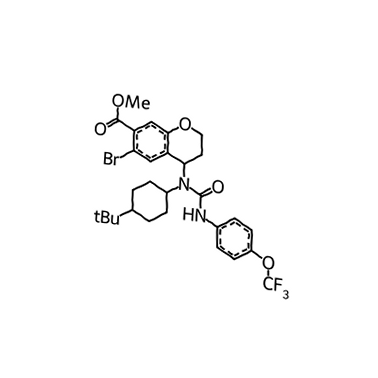 COC(=O)c1cc2c(cc1Br)C(N(C(=O)Nc1ccc(OC(F)(F)F)cc1)C1CCC(C(C)(C)C)CC1)CCO2